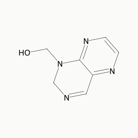 OCN1CN=Cc2nccnc21